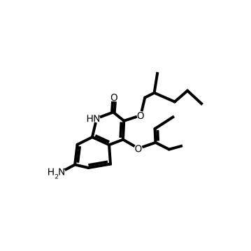 CC=C(CC)Oc1c(OCC(C)CCC)c(=O)[nH]c2cc(N)ccc12